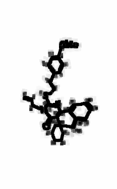 C=CCn1c(SCCc2ccc(OC)cc2)nc2c(c1=O)C1(CCCCC1)Cc1ccccc1-2